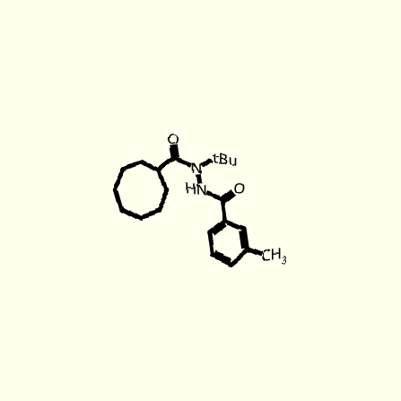 Cc1cccc(C(=O)NN(C(=O)C2CCCCCCC2)C(C)(C)C)c1